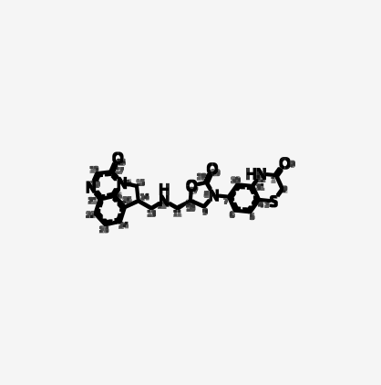 O=C1CSc2ccc(N3C[C@@H](CNCC4Cn5c(=O)cnc6cccc4c65)OC3=O)cc2N1